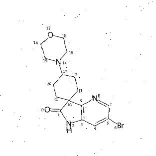 O=C1Nc2cc(Br)cnc2C12CCC(N1CCOCC1)CC2